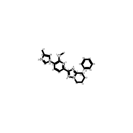 COc1nc(-c2nc3n(n2)CCC[C@H]3c2ccccc2)ccc1-n1cnc(C)c1